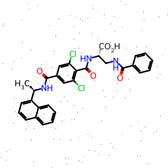 C[C@@H](NC(=O)c1cc(Cl)c(C(=O)N[C@@H](CNC(=O)c2ccccc2)C(=O)O)c(Cl)c1)c1cccc2ccccc12